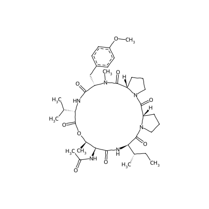 CC[C@H](C)[C@H]1NC(=O)[C@@H](NC(C)=O)[C@@H](C)OC(=O)[C@H](C(C)C)NC(=O)[C@H](Cc2ccc(OC)cc2)N(C)C(=O)[C@@H]2CCCN2C(=O)[C@@H]2CCCN2C1=O